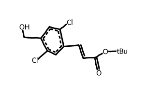 CC(C)(C)OC(=O)C=Cc1cc(Cl)c(CO)cc1Cl